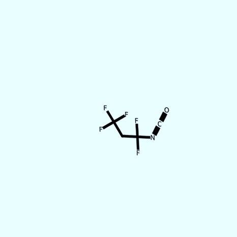 O=C=NC(F)(F)CC(F)(F)F